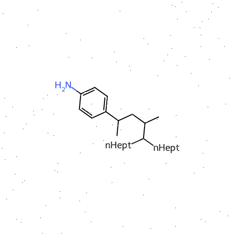 CCCCCCCC(CCCCCCC)C(C)CC(C)c1ccc(N)cc1